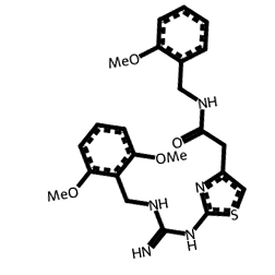 COc1ccccc1CNC(=O)Cc1csc(NC(=N)NCc2c(OC)cccc2OC)n1